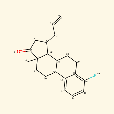 C=CCC1CC(=O)C2(C)CCC3c4cccc(F)c4CCC3C12